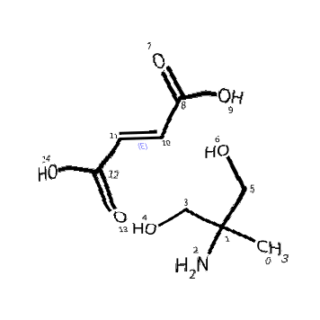 CC(N)(CO)CO.O=C(O)/C=C/C(=O)O